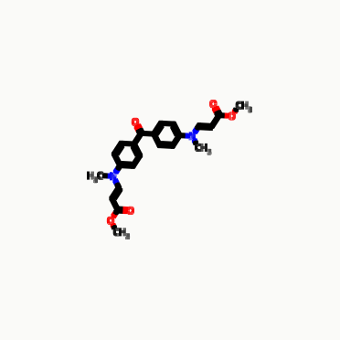 COC(=O)C=CN(C)c1ccc(C(=O)c2ccc(N(C)C=CC(=O)OC)cc2)cc1